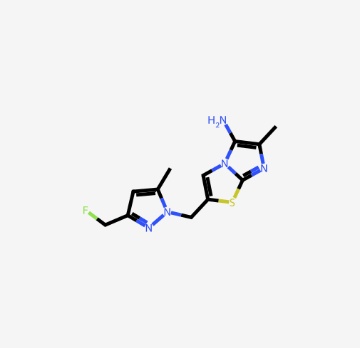 Cc1nc2sc(Cn3nc(CF)cc3C)cn2c1N